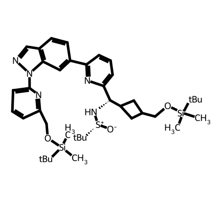 CC(C)(C)[S@@+]([O-])N[C@H](c1cccc(-c2ccc3cnn(-c4cccc(CO[Si](C)(C)C(C)(C)C)n4)c3c2)n1)C1CC(CO[Si](C)(C)C(C)(C)C)C1